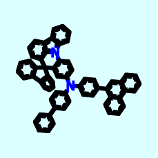 c1ccc(-c2ccc(N(c3ccc(-c4cc5ccccc5c5ccccc45)cc3)c3ccc4c(c3)C3(c5ccccc5-c5ccccc53)c3cccc5c6ccccc6n-4c35)cc2)cc1